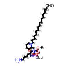 CC(C)(C)OC(=O)[N+](CC1CCCCN1CCCCCCCCCCCCCCCCCC=O)(C(=O)OC(C)(C)C)C(=O)C(N)CCCCN